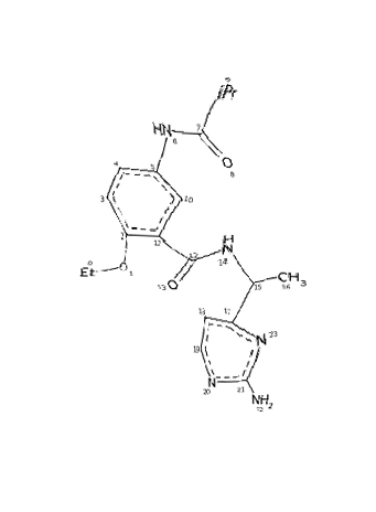 CCOc1ccc(NC(=O)C(C)C)cc1C(=O)NC(C)c1ccnc(N)n1